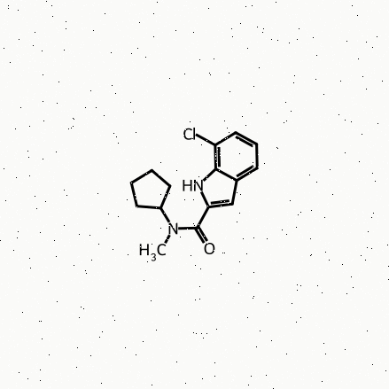 CN(C(=O)c1cc2cccc(Cl)c2[nH]1)C1CCCC1